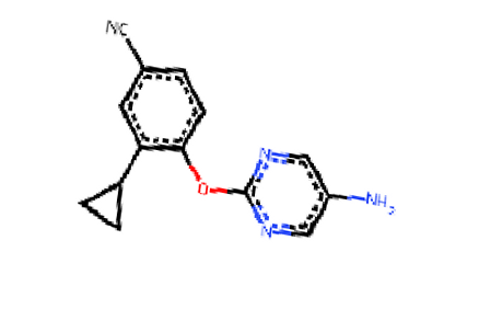 N#Cc1ccc(Oc2ncc(N)cn2)c(C2CC2)c1